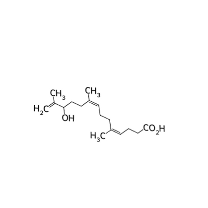 C=C(C)C(O)CCC(C)=CCCC(C)=CCCC(=O)O